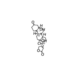 C[C@]12CC[C@H]3[C@@H](CC[C@@H]4CC(=O)CC[C@@]43CO)C1(O)CC[C@@H]2C1=CC(=O)OC1